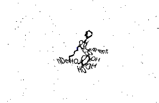 CCCCCCCCCCCCC/C=C/[C@@H](OC(=O)c1ccccc1)[C@H](CO[C@@H]1O[C@H](CO)[C@H](O)[C@H](O)[C@H]1O)NC(=O)CCCCC